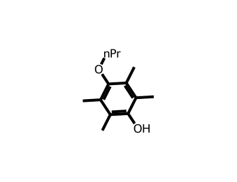 CCCOc1c(C)c(C)c(O)c(C)c1C